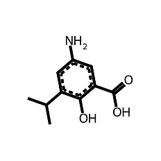 CC(C)c1cc(N)cc(C(=O)O)c1O